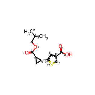 CC(C)COC(=O)C1CC1c1cc(C(=O)O)cs1